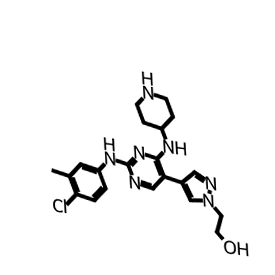 Cc1cc(Nc2ncc(-c3cnn(CCO)c3)c(NC3CCNCC3)n2)ccc1Cl